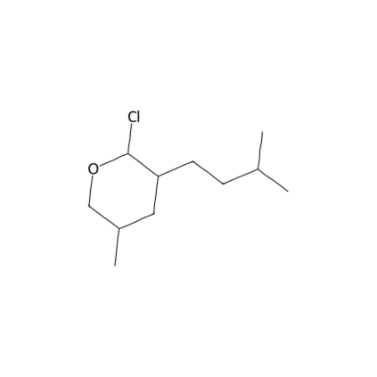 CC(C)CCC1CC(C)COC1Cl